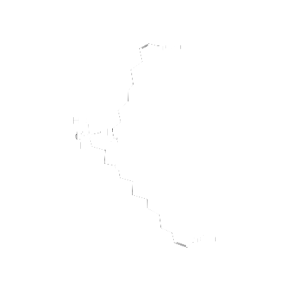 CCCCCCCC/C=C\CCCCCCCCOCC(C[AsH](C)(C)C)OCCCCCCCC/C=C\CCCCCCCC